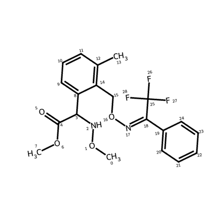 CONC(C(=O)OC)c1cccc(C)c1CO/N=C(/c1ccccc1)C(F)(F)F